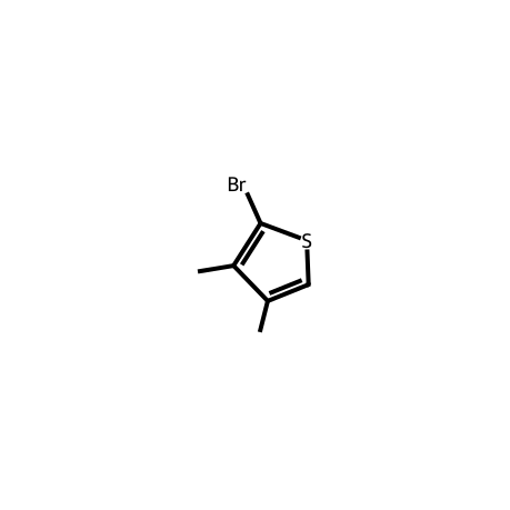 Cc1csc(Br)c1C